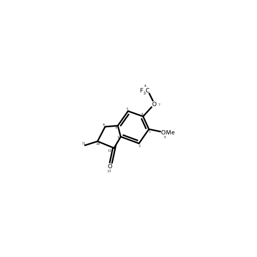 COc1cc2c(cc1OC(F)(F)F)CC(C)C2=O